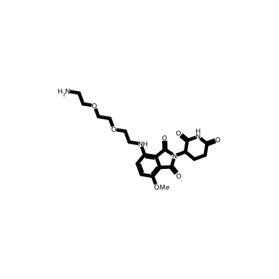 COc1ccc(NCCOCCOCCN)c2c1C(=O)N(C1CCC(=O)NC1=O)C2=O